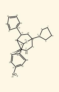 O=C1NCC2(N3CCCC3)CC(c3ccccc3)C1C(c1ccc([N+](=O)[O-])cc1)C2